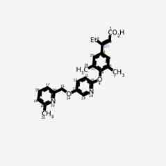 CC/C(=C\C(=O)O)c1cc(C)c(Oc2ccc(OCc3cccc(C)n3)cn2)c(C)c1